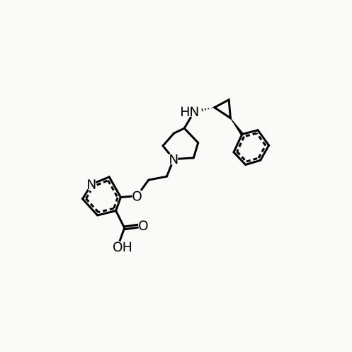 O=C(O)c1ccncc1OCCN1CCC(N[C@@H]2C[C@H]2c2ccccc2)CC1